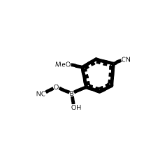 COc1cc(C#N)ccc1B(O)OC#N